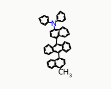 Cc1ccc(-c2c3ccccc3c(-c3ccc(N(c4ccccc4)c4ccccc4)c4ccccc34)c3ccccc23)c2ccccc12